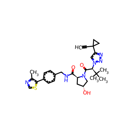 C#CC1(c2cn([C@H](C(=O)N3C[C@H](O)C[C@H]3C(=O)NCc3ccc(-c4scnc4C)cc3)C(C)(C)C)nn2)CC1